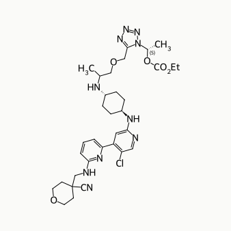 CCOC(=O)O[C@@H](C)n1nnnc1COCC(C)N[C@H]1CC[C@H](Nc2cc(-c3cccc(NCC4(C#N)CCOCC4)n3)c(Cl)cn2)CC1